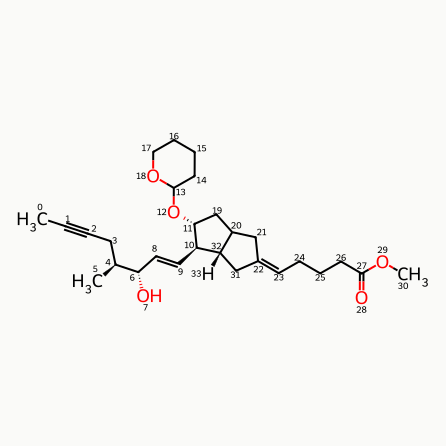 CC#CC[C@H](C)[C@@H](O)/C=C/[C@H]1[C@H](OC2CCCCO2)CC2C/C(=C\CCCC(=O)OC)C[C@@H]21